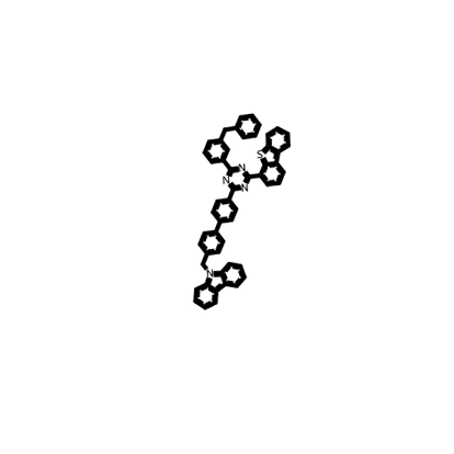 c1ccc(Cc2cccc(-c3nc(-c4ccc(-c5ccc(Cn6c7ccccc7c7ccccc76)cc5)cc4)nc(-c4cccc5c4sc4ccccc45)n3)c2)cc1